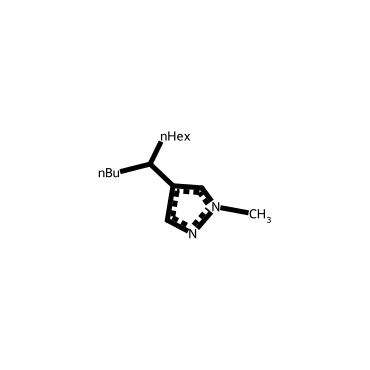 CCCCCCC(CCCC)c1cnn(C)c1